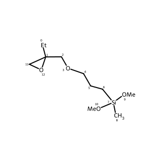 CCC1(COCCC[Si](C)(OC)OC)CO1